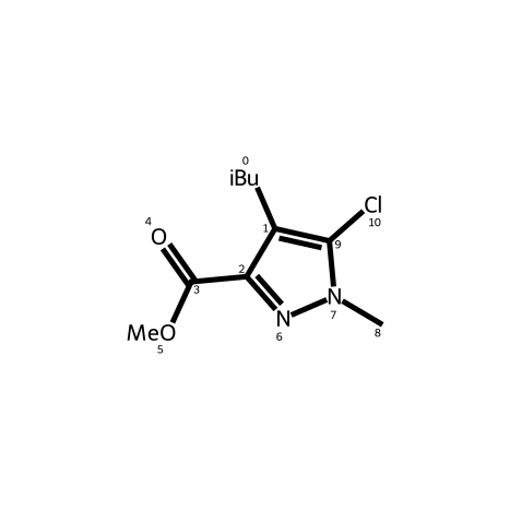 CCC(C)c1c(C(=O)OC)nn(C)c1Cl